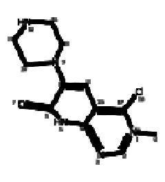 C[n+]1cnc2[nH]c(=O)c(N3CCNCC3)cc2c1Cl